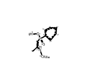 CONC(C)=CP(=O)(OC(C)C)c1ccccc1